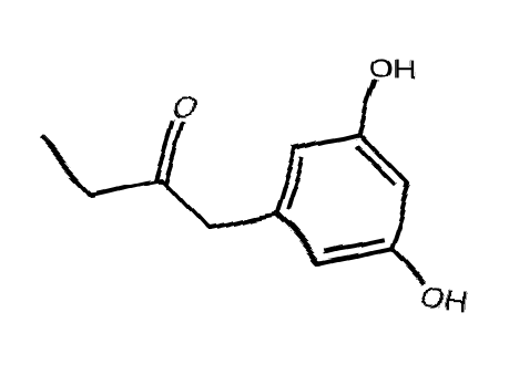 CCC(=O)Cc1cc(O)cc(O)c1